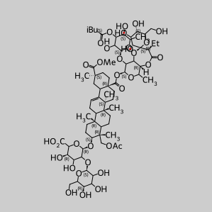 CC[C@H](C)C(=O)OC1C(O)[C@H](OC2C3O[C@@]4(OC(CO)[C@@H](O)C(O)C4O)[C@@H](CC)C(=O)O[C@@H]3C(C)O[C@H]2OC(=O)[C@]23CC[C@](C)(C(=O)OC)CC2C2=CCC4[C@@]5(C)CC[C@H](O[C@@H]6OC(C(=O)O)[C@H](O)C(O)C6O[C@@H]6OC(CO)[C@H](O)C(O)C6O)[C@@](C)(COC(C)=O)C5CC[C@@]4(C)[C@]2(C)CC3)OC(C)[C@@H]1O